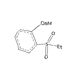 CCS(=O)(=O)c1ccccc1OC